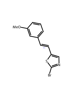 COc1cccc(/C=C/c2cnc(Br)s2)c1